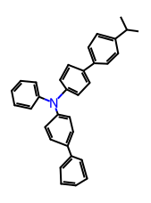 CC(C)c1ccc(-c2ccc(N(c3ccccc3)c3ccc(-c4ccccc4)cc3)cc2)cc1